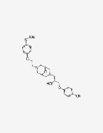 CC(C)(C)Oc1ccc(OCCN2CC3CN(C[C@H](O)COc4ccc(C#N)cc4)CC(C2)O3)cc1